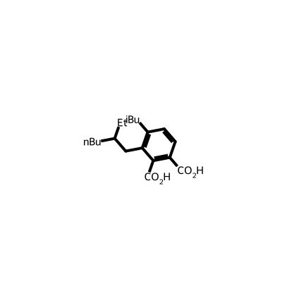 CCCCC(CC)Cc1c(C(C)CC)ccc(C(=O)O)c1C(=O)O